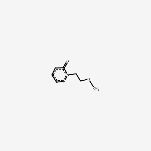 COCCn1n[c]ccc1=O